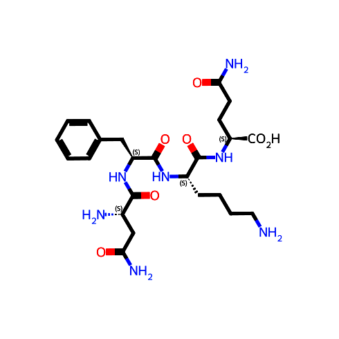 NCCCC[C@H](NC(=O)[C@H](Cc1ccccc1)NC(=O)[C@@H](N)CC(N)=O)C(=O)N[C@@H](CCC(N)=O)C(=O)O